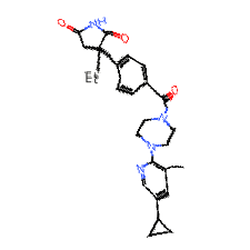 CCC1(c2ccc(C(=O)N3CCN(c4ncc(C5CC5)cc4C)CC3)cc2)CC(=O)NC1=O